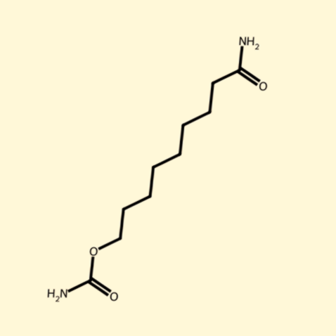 NC(=O)CCCCCCCCOC(N)=O